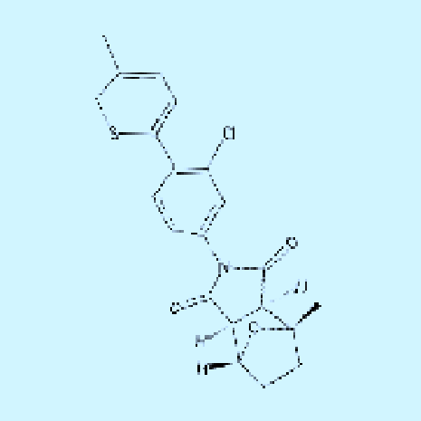 CC1=CC=C(c2ccc(N3C(=O)[C@H]4[C@@H](C3=O)[C@]3(C)CC[C@H]4O3)cc2Cl)SC1